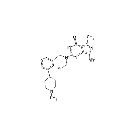 CCCc1nn(C)c2c(=O)[nH]c(N(Cc3cccc(N4CCN(C)CC4)c3)CC(C)C)nc12